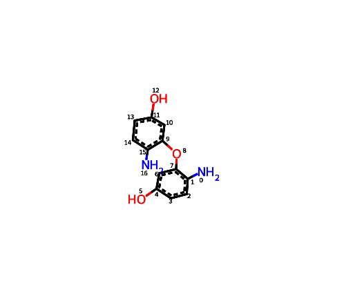 Nc1ccc(O)cc1Oc1cc(O)ccc1N